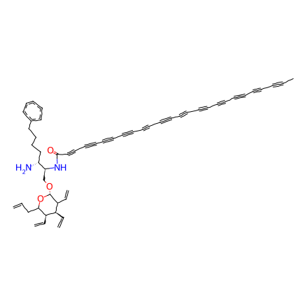 C=CCC1O[C@H](OC[C@H](NC(=O)C#CC#CC#CC#CC#CC#CC#CC#CC#CC#CC#CC#CC)[C@H](N)CCCCc2ccccc2)C(C=C)[C@@H](C=C)[C@H]1C=C